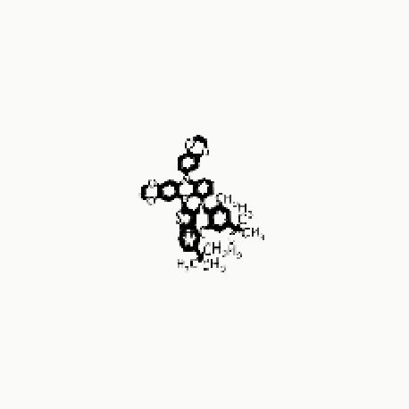 Cc1cc(C(C)(C)C)cc(C)c1N1c2cccc3c2B(c2cc4c(cc2N3c2ccc3c(c2)OCCO3)OCCO4)c2sc3ccc(C(C)(C)C)cc3c21